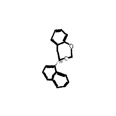 c1ccc2c(c1)C[C@@H](c1cccc3ccccc13)CCO2